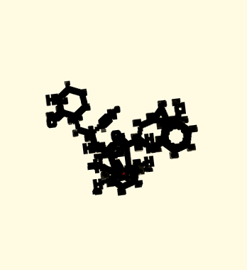 N#C[C@@H](C[C@H]1CCCNC1=O)NC(=O)[C@H]1[C@@H]2CC[C@@H](CC2(F)F)N1C(=O)[C@H](CC1CC1)Nc1cccc(Cl)c1